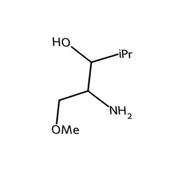 COCC(N)C(O)C(C)C